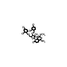 CSc1nc(N)c2ccc(=O)n(C3OC(COCc4ccc(Cl)cc4Cl)C(OCc4ccc(Cl)cc4Cl)C3(C)O)c2n1